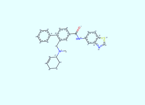 CN(Cc1cc(C(=O)Nc2ccc3scnc3c2)ccc1-c1ccccc1)C1C=CCCC1